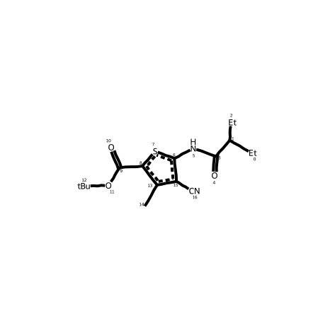 CCC(CC)C(=O)Nc1sc(C(=O)OC(C)(C)C)c(C)c1C#N